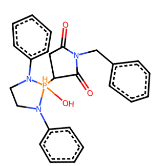 O=C1CC([PH]2(O)N(c3ccccc3)CCN2c2ccccc2)C(=O)N1Cc1ccccc1